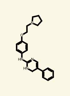 [CH]1NC(Nc2ccc(OCCN3CCCC3)cc2)=NC=C1c1ccccc1